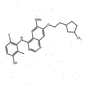 COc1cc2c(Nc3c(F)ccc(O)c3C)ncnc2cc1OCCN1CCC(C(F)(F)F)C1